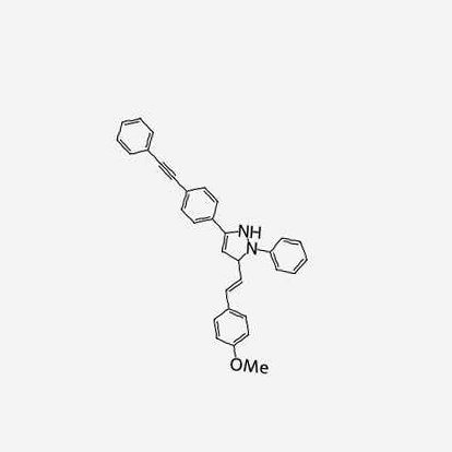 COc1ccc(C=CC2C=C(c3ccc(C#Cc4ccccc4)cc3)NN2c2ccccc2)cc1